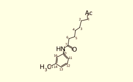 CC(=O)CCCCCCC(=O)Nc1cccc(C)c1